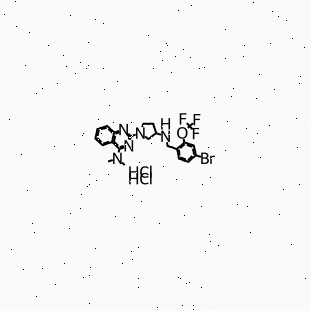 CN(C)c1nc(N2CCC(NCc3ccc(Br)cc3OC(F)(F)F)C2)nc2ccccc12.Cl.Cl